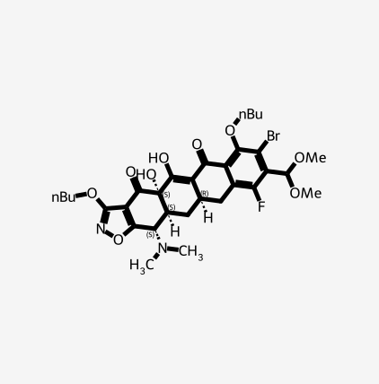 CCCCOc1noc2c1C(=O)[C@@]1(O)C(O)=C3C(=O)c4c(c(F)c(C(OC)OC)c(Br)c4OCCCC)C[C@H]3C[C@H]1[C@@H]2N(C)C